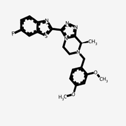 COc1ccc(CN2CCn3c(-c4nc5ccc(F)cc5s4)nnc3[C@H]2C)c(OC)c1